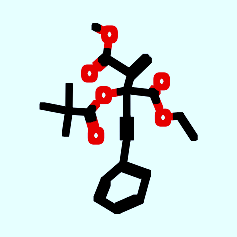 C=C(C(=O)OC)C(C#Cc1ccccc1)(OC(=O)C(C)(C)C)C(=O)OCC